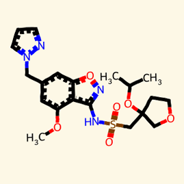 COc1cc(Cn2cccn2)cc2onc(NS(=O)(=O)CC3(OC(C)C)CCOC3)c12